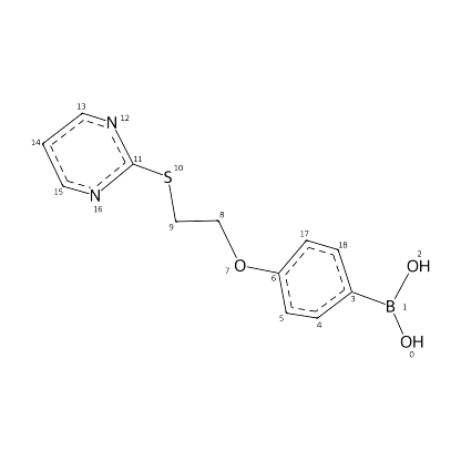 OB(O)c1ccc(OCCSc2ncccn2)cc1